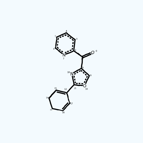 O=C(c1ccccn1)c1coc(C2=CCCC=C2)n1